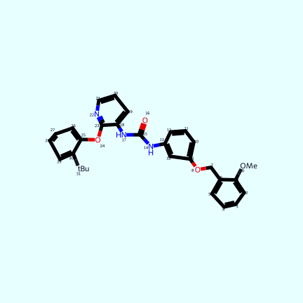 COc1ccccc1COc1cccc(NC(=O)Nc2cccnc2Oc2ccccc2C(C)(C)C)c1